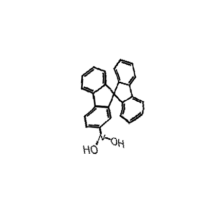 ON(O)c1ccc2c(c1)C1(c3ccccc3-c3ccccc31)c1ccccc1-2